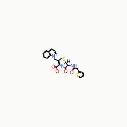 O=C(Cc1cccs1)NC1C(=O)N2C(C(=O)[O-])=C(C[n+]3cccc4ccccc43)CS[C@@H]12